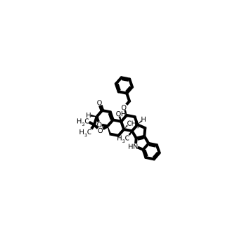 CC1(C)O[C@@]23CC[C@]4(C)[C@@]5(C)c6[nH]c7ccccc7c6C[C@@H]5C[C@H](OCc5ccccc5)[C@@]4(O)C2=CC(=O)[C@@H]1O3